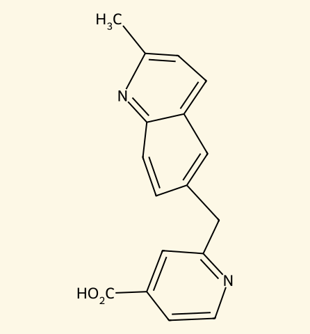 Cc1ccc2cc(Cc3cc(C(=O)O)ccn3)ccc2n1